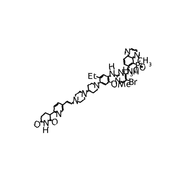 CCc1cc(Nc2ncc(Br)c(Nc3ccc4nccnc4c3P(C)(C)=O)n2)c(OC)cc1N1CCC(N2CCN(CCc3ccc(C4CCC(=O)NC4=O)nc3)CC2)CC1